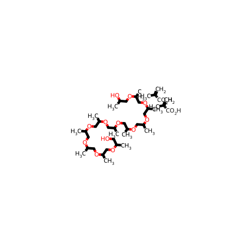 C=C(C)C(=O)O.C=C(C)C(=O)O.CC(O)COC(C)COC(C)COC(C)COC(C)COC(C)COC(C)COC(C)COC(C)COC(C)COC(C)CO